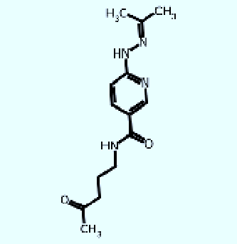 CC(=O)CCCNC(=O)c1ccc(NN=C(C)C)nc1